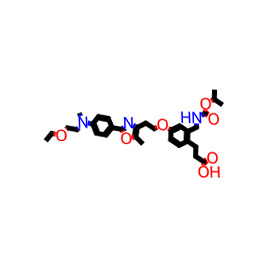 CCOCCN(C)c1ccc(-c2nc(CCOc3ccc(CCC(=O)O)c(CNC(=O)OC(C)C)c3)c(C)o2)cc1